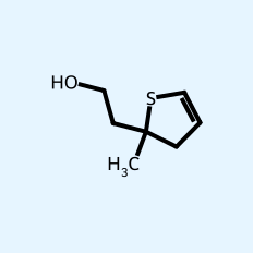 CC1(CCO)CC=CS1